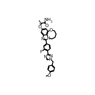 COc1ccc(Cn2cnc(-c3ccc(-c4nc5cc(O[C@@H](C)C(N)=O)cc6c5n4CCCCO6)cc3F)n2)cc1